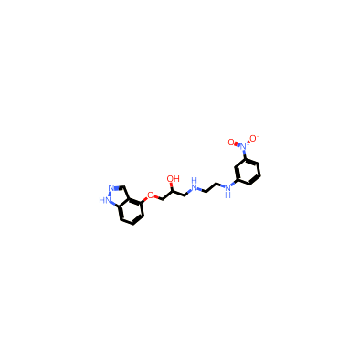 O=[N+]([O-])c1cccc(NCCNCC(O)COc2cccc3[nH]ncc23)c1